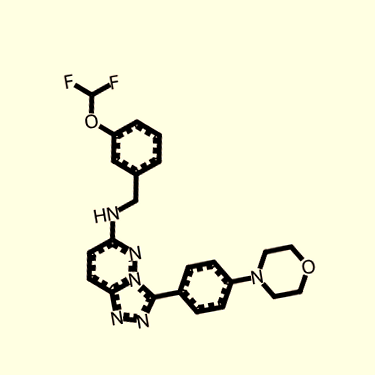 FC(F)Oc1cccc(CNc2ccc3nnc(-c4ccc(N5CCOCC5)cc4)n3n2)c1